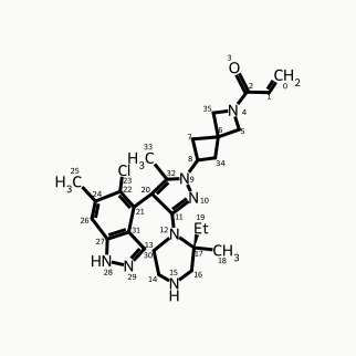 C=CC(=O)N1CC2(CC(n3nc(N4CCNC[C@]4(C)CC)c(-c4c(Cl)c(C)cc5[nH]ncc45)c3C)C2)C1